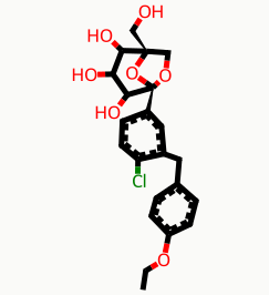 CCOc1ccc(Cc2cc([C@]34OC[C@](CO)(O3)C(O)C(O)C4O)ccc2Cl)cc1